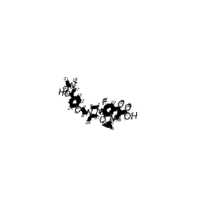 COc1c(N2CCN(CCOc3ccc([C@@H](O)CN(C)C(C)=O)cc3)C(C)C2)c(F)cc2c(=O)c(C(=O)O)cn(C3CC3)c12